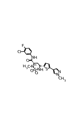 CN1[C@@H](C(=O)Nc2ccc(F)c(Cl)c2)C[C@H](c2ccc(-c3cnn(C)c3)s2)NS1(=O)=O